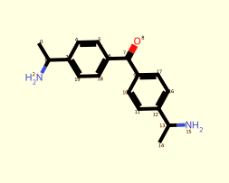 CC(N)c1ccc(C(=O)c2ccc(C(C)N)cc2)cc1